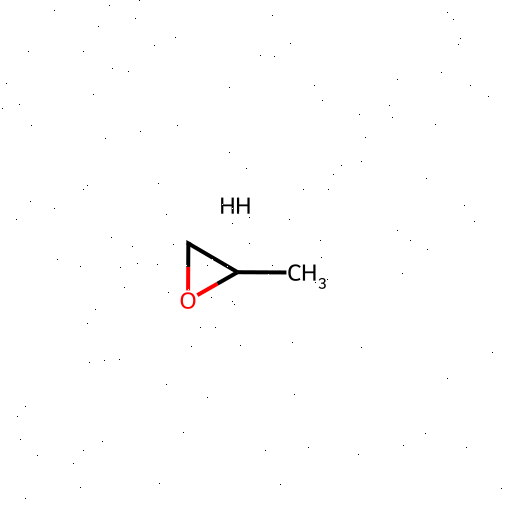 CC1CO1.[HH]